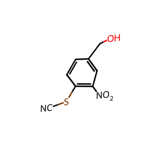 N#CSc1ccc(CO)cc1[N+](=O)[O-]